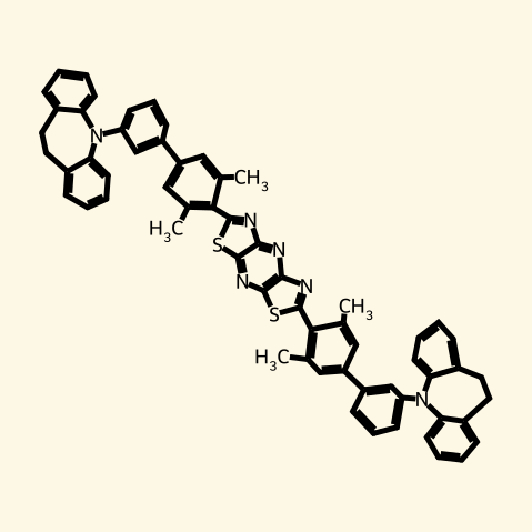 Cc1cc(-c2cccc(N3c4ccccc4CCc4ccccc43)c2)cc(C)c1-c1nc2nc3nc(-c4c(C)cc(-c5cccc(N6c7ccccc7CCc7ccccc76)c5)cc4C)sc3nc2s1